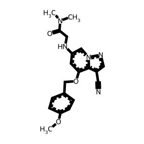 COc1ccc(COc2cc(NCC(=O)N(C)C)cn3ncc(C#N)c23)cc1